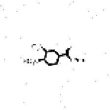 CCCCCC(=O)C1CCC(C(=O)O)C([N+](=O)[O-])C1